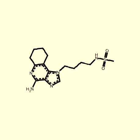 CS(=O)(=O)NCCCCn1cnc2c(N)nc3c(c21)CCCC3